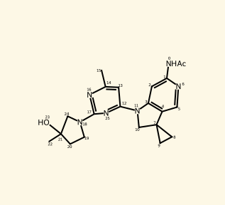 CC(=O)Nc1cc2c(cn1)C1(CC1)CN2c1cc(C)nc(N2CCC(C)(O)C2)n1